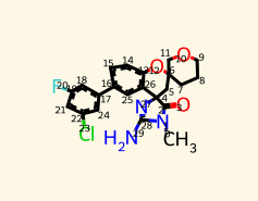 CN1C(=O)C2(CC3(CCCOC3)Oc3ccc(-c4cc(F)cc(Cl)c4)cc32)N=C1N